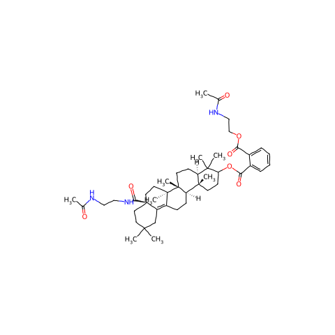 CC(=O)NCCNC(=O)[C@]12CCC(C)(C)CC1=C1CC[C@@H]3[C@@]4(C)CCC(OC(=O)c5ccccc5C(=O)OCCNC(C)=O)C(C)(C)[C@@H]4CC[C@@]3(C)[C@]1(C)CC2